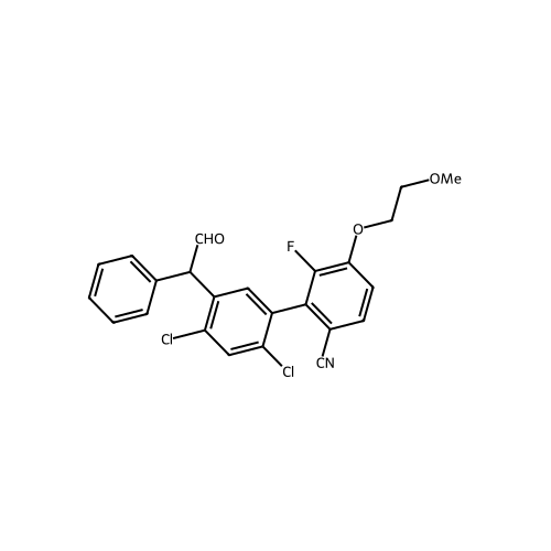 COCCOc1ccc(C#N)c(-c2cc(C(C=O)c3ccccc3)c(Cl)cc2Cl)c1F